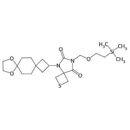 C[Si](C)(C)CCOCN1C(=O)N(C2CC3(CCC4(CC3)OCCO4)C2)C2(CSC2)C1=O